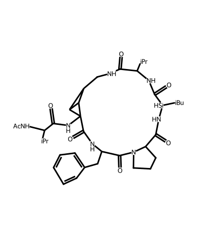 CCC(C)[SiH]1NC(=O)C2CCCN2C(=O)C(Cc2ccccc2)NC(=O)C2(NC(=O)C(NC(C)=O)C(C)C)C3C(CNC(=O)C(C(C)C)NC1=O)C32